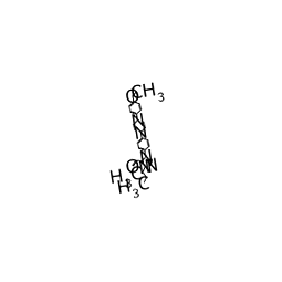 CCC(C)N1N=CN(c2ccc(N3CCN(c4ccc(OC)cc4)CC3)cc2)C1C=O